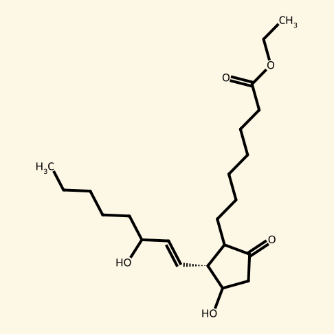 CCCCCC(O)/C=C/[C@H]1C(O)CC(=O)C1CCCCCCC(=O)OCC